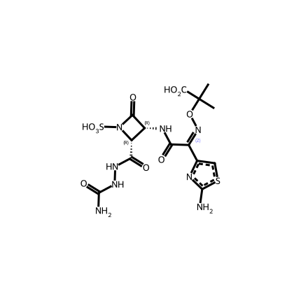 CC(C)(O/N=C(\C(=O)N[C@H]1C(=O)N(S(=O)(=O)O)[C@H]1C(=O)NNC(N)=O)c1csc(N)n1)C(=O)O